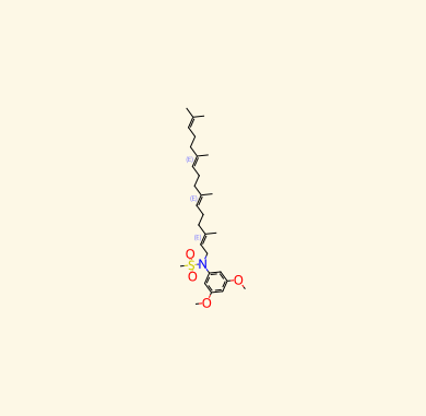 COc1cc(OC)cc(N(C/C=C(\C)CC/C=C(\C)CC/C=C(\C)CCC=C(C)C)S(C)(=O)=O)c1